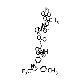 Cc1ccc(-c2cc(C(F)(F)F)nn2-c2ccc(S(=O)(=O)NC(=O)CCC(=O)OC[C@@H]3CCCN3[N+]([O-])=NOC(C)OC(=O)OC(C)C)cc2)cc1